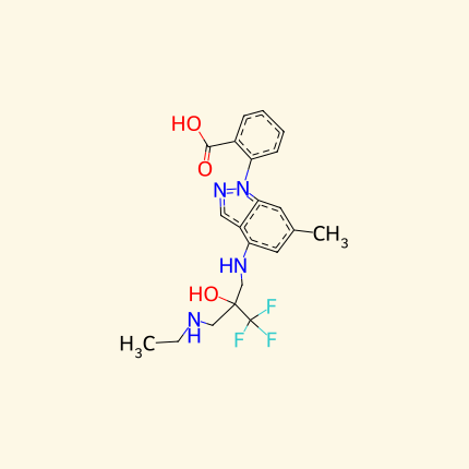 CCNCC(O)(CNc1cc(C)cc2c1cnn2-c1ccccc1C(=O)O)C(F)(F)F